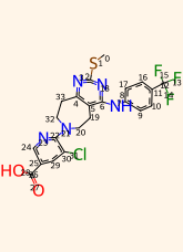 CSc1nc2c(c(Nc3ccc(C(F)(F)F)cc3)n1)CCN(c1ncc(C(=O)O)cc1Cl)CC2